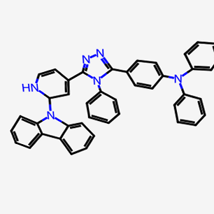 C1=CC(c2nnc(-c3ccc(N(c4ccccc4)c4ccccc4)cc3)n2-c2ccccc2)=CC(n2c3ccccc3c3ccccc32)N1